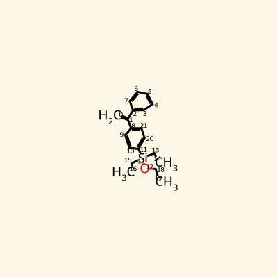 C=C(c1ccccc1)c1ccc([Si](CC)(CC)OCC)cc1